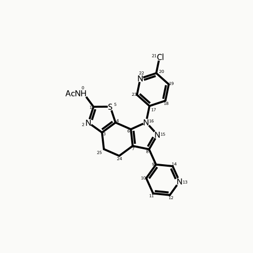 CC(=O)Nc1nc2c(s1)-c1c(c(-c3cccnc3)nn1-c1ccc(Cl)nc1)CC2